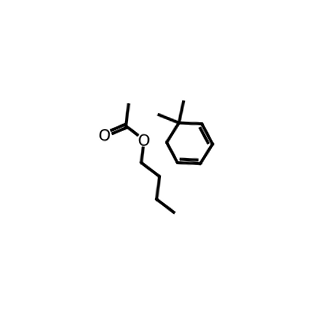 CC1(C)C=CC=CC1.CCCCOC(C)=O